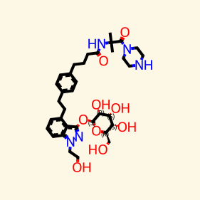 CC(C)(NC(=O)CCCc1ccc(CCc2cccc3c2c(O[C@@H]2O[C@H](CO)[C@@H](O)[C@H](O)[C@H]2O)nn3CCO)cc1)C(=O)N1CCNCC1